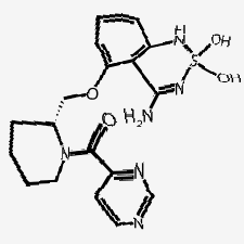 NC1=NS(O)(O)Nc2cccc(OC[C@H]3CCCCN3C(=O)c3ccncn3)c21